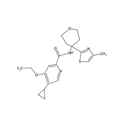 Cc1csc(C2(NC(=O)c3cc(OCC(F)(F)F)c(C4CC4)cn3)CCOCC2)n1